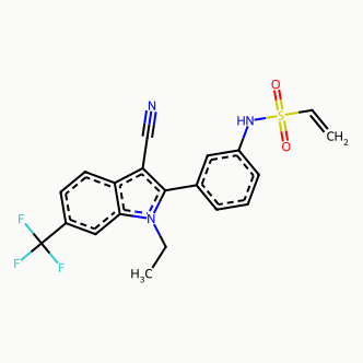 C=CS(=O)(=O)Nc1cccc(-c2c(C#N)c3ccc(C(F)(F)F)cc3n2CC)c1